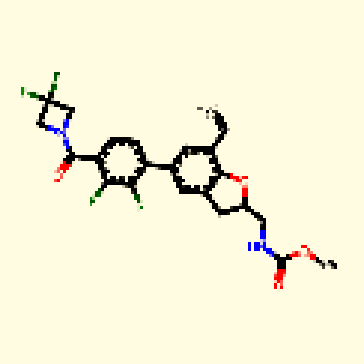 C=Cc1cc(-c2ccc(C(=O)N3CC(F)(F)C3)c(F)c2F)cc2c1OC(CNC(=O)OC(C)(C)C)C2